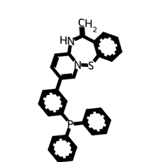 C=C1NC2C=CC(c3cccc(P(c4ccccc4)c4ccccc4)c3)=CN2Sc2ccccc21